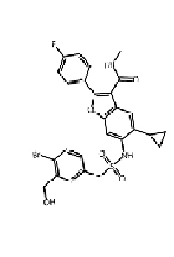 CNC(=O)c1c(-c2ccc(F)cc2)oc2cc(NS(=O)(=O)Cc3ccc(Br)c(CO)c3)c(C3CC3)cc12